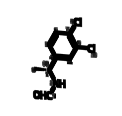 C[C@@H](NC=O)c1ccc(Cl)c(Cl)c1